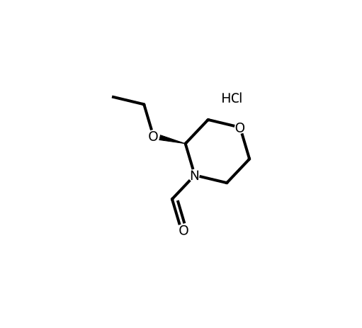 CCO[C@H]1COCCN1C=O.Cl